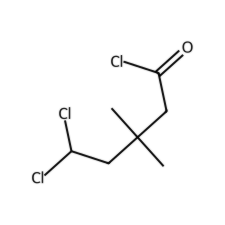 CC(C)(CC(=O)Cl)CC(Cl)Cl